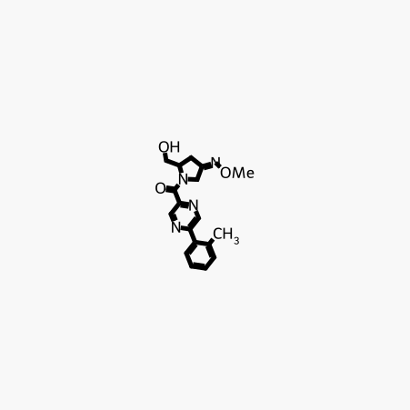 CO/N=C1/CC(CO)N(C(=O)c2cnc(-c3ccccc3C)cn2)C1